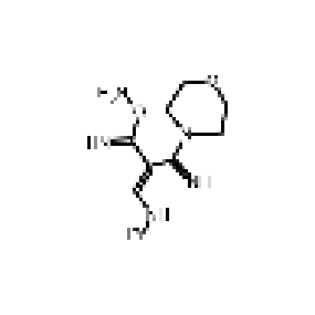 CC(C)N/C=C(/C(=N)ON)C(=N)N1CCOCC1